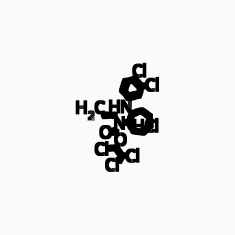 C=CCN(C(=O)OC(Cl)C(Cl)Cl)C1CCCCCC1Nc1ccc(Cl)c(Cl)c1.Cl